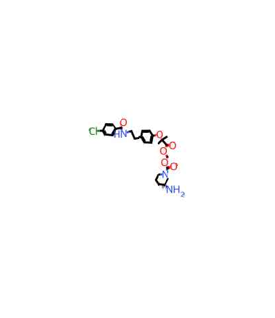 CC(C)(Oc1ccc(CCNC(=O)c2ccc(Cl)cc2)cc1)C(=O)OCOC(=O)N1CCC[C@@H](N)C1